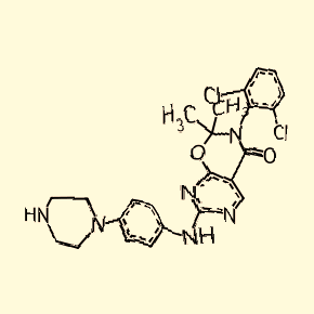 CC1(C)Oc2nc(Nc3ccc(N4CCNCC4)cc3)ncc2C(=O)N1c1c(Cl)cccc1Cl